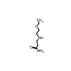 CCOCCNCCC(N)=O